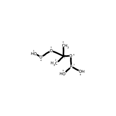 CC(C)(OOO)OP(O)O